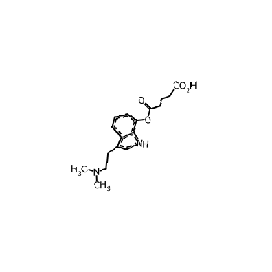 CN(C)CCc1c[nH]c2c(OC(=O)CCCC(=O)O)cccc12